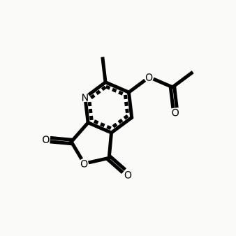 CC(=O)Oc1cc2c(nc1C)C(=O)OC2=O